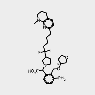 CN1CCCc2ccc(CCCCC(F)(I)C3CCN(C(C(=O)O)c4cccc(P)c4CO[C@H]4CCOC4)C3)nc21